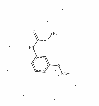 CCCCCCCCOc1[c]ccc(NC(=O)OCCCC)c1